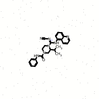 CC(C)C1CN(C(=O)Nc2ccccc2)CCN1/C(=N\C#N)Nc1cccc2ncccc12